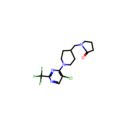 O=C1CCCN1CC1CCN(c2nc(C(F)(F)F)ncc2Cl)CC1